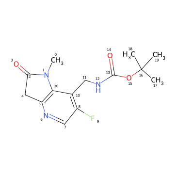 CN1C(=O)Cc2ncc(F)c(CNC(=O)OC(C)(C)C)c21